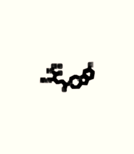 CNC(CCC(=O)N1CCC2Cc3ccc(Cl)cc3N2CC1)C(=O)NC=O